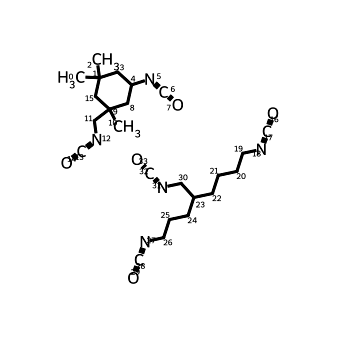 CC1(C)CC(N=C=O)CC(C)(CN=C=O)C1.O=C=NCCCCC(CCCN=C=O)CN=C=O